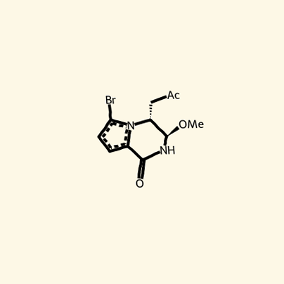 CO[C@H]1NC(=O)c2ccc(Br)n2[C@@H]1CC(C)=O